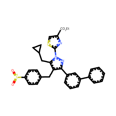 CCOC(=O)c1csc(-n2nc(-c3cccc(-c4ccccc4)c3)c(Cc3ccc([SH](=O)=O)cc3)c2CC2CC2)n1